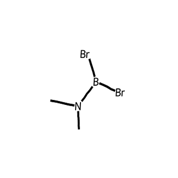 CN(C)B(Br)Br